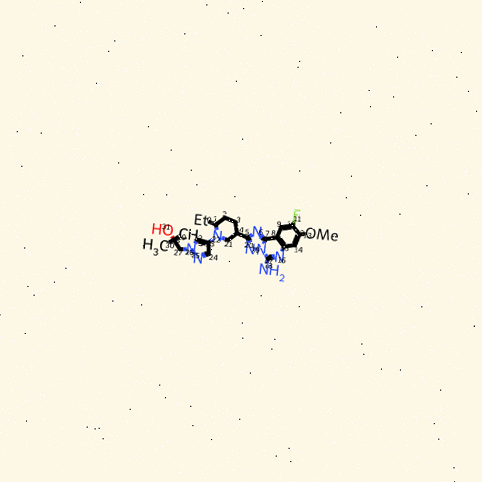 CCC1CCC(c2nc3c4cc(F)c(OC)cc4nc(N)n3n2)CN1c1cnn(CC(C)(C)O)c1